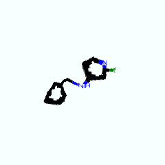 Fc1cc(NCc2ccccc2)ccn1